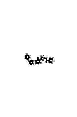 Cc1cc(Oc2ccc(Oc3ccccc3)cc2)cc(C)c1-c1csc(CC(=O)c2ccncc2)n1